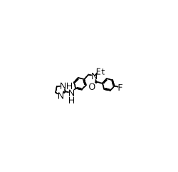 CCN(Cc1ccc(NC2=NCCN2)cc1)C(=O)c1ccc(F)cc1